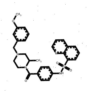 COc1cccc(CN2CCN(C(=O)c3ccc(NS(=O)(=O)c4cccc5cccnc45)cc3)C(C)C2)c1